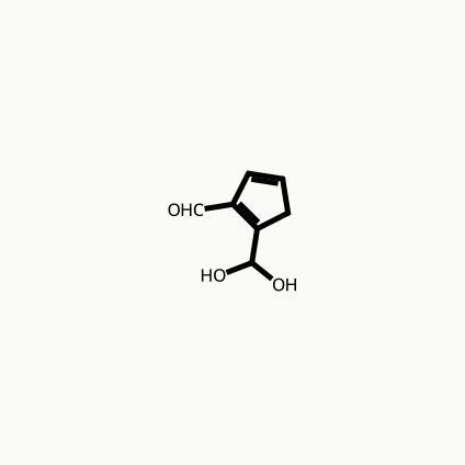 O=CC1=C(C(O)O)CC=C1